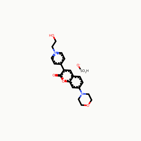 O=S(=O)([O-])O.O=c1oc2cc(N3CCOCC3)ccc2cc1-c1cc[n+](CCO)cc1